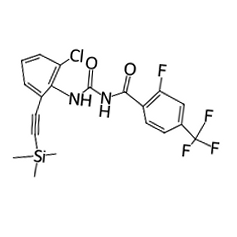 C[Si](C)(C)C#Cc1cccc(Cl)c1NC(=O)NC(=O)c1ccc(C(F)(F)F)cc1F